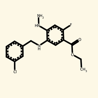 CCOC(=O)c1cc(NCc2cccc(Cl)c2)c(NN)cc1F